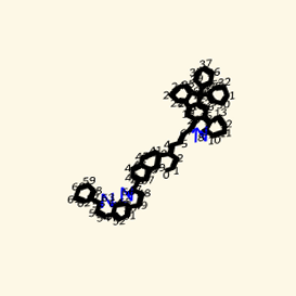 C\C=C/C(=C\C=C\c1nc2ccccc2c2cc3c(cc12)-c1ccccc1C3(c1ccccc1)c1ccccc1)c1ccc2ccc(-c3ccc4ccc5ccc(-c6ccccc6)nc5c4n3)cc2c1